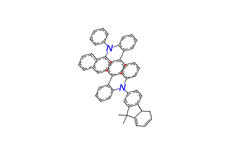 CC1(C)C2=CC=CCC2c2ccc(N(c3ccccc3)c3ccccc3-c3ccc(-c4ccccc4N(c4ccccc4)c4cccc5ccccc45)cc3)cc21